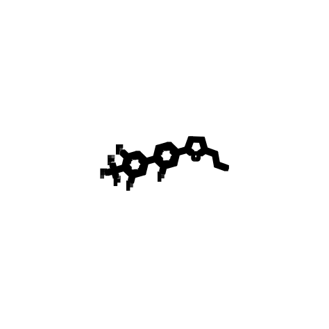 CCCC1CCC(c2ccc(-c3cc(F)c(C(F)(F)F)c(F)c3)c(F)c2)O1